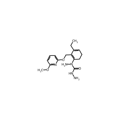 CCC1=CCCC(N(N)C(=O)NN)=C1COc1cccc(OC)n1